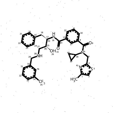 Cc1csc(CN(C(=O)c2cccc(C(=O)N[C@@H](Cc3ccccc3)[C@H](O)CNCc3cccc(C(F)(F)F)c3)c2)C2CC2)n1